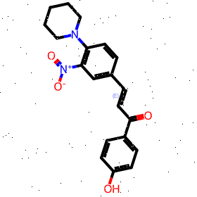 O=C(/C=C/c1ccc(N2CCCCC2)c([N+](=O)[O-])c1)c1ccc(O)cc1